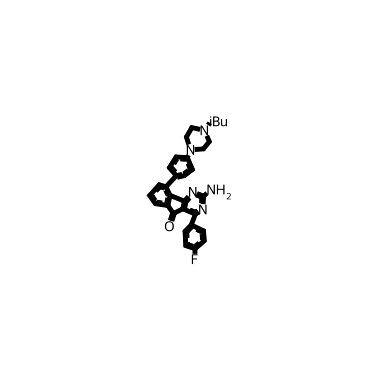 CCC(C)N1CCN(c2ccc(-c3cccc4c3-c3nc(N)nc(-c5ccc(F)cc5)c3C4=O)cc2)CC1